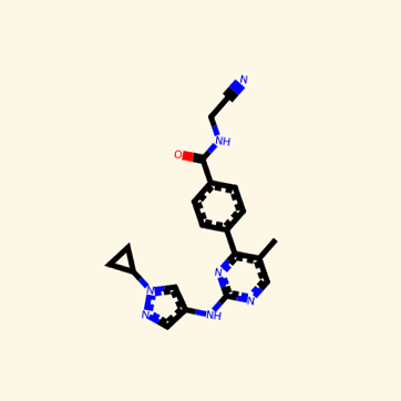 Cc1cnc(Nc2cnn(C3CC3)c2)nc1-c1ccc(C(=O)NCC#N)cc1